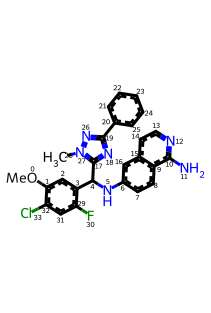 COc1cc(C(Nc2ccc3c(N)nccc3c2)c2nc(-c3ccccc3)nn2C)c(F)cc1Cl